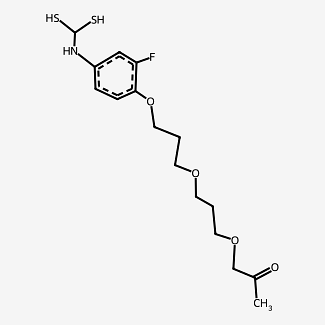 CC(=O)COCCCOCCCOc1ccc(NC(S)S)cc1F